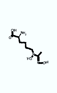 C/C(=N\O)N(O)CCCC[C@H](N)C(=O)O